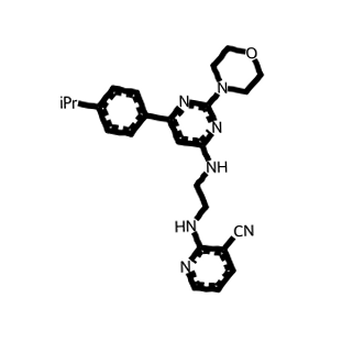 CC(C)c1ccc(-c2cc(NCCNc3ncccc3C#N)nc(N3CCOCC3)n2)cc1